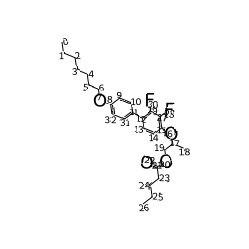 CCCCCCCOc1ccc(-c2ccc(OC(C)COC(=O)CCCC)c(F)c2F)cc1